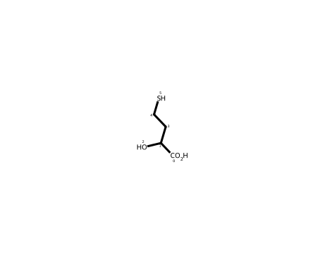 O=C(O)C(O)CCS